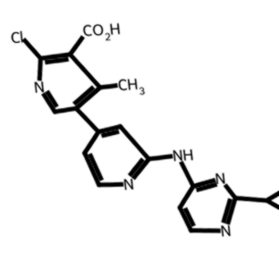 Cc1c(-c2ccnc(Nc3ccnc(C4CC4)n3)c2)cnc(Cl)c1C(=O)O